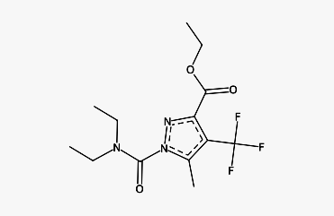 CCOC(=O)c1nn(C(=O)N(CC)CC)c(C)c1C(F)(F)F